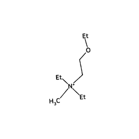 CCOCC[N+](C)(CC)CC